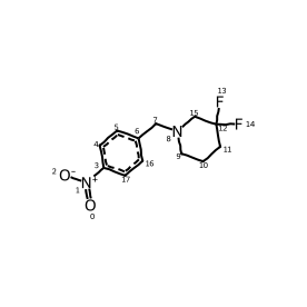 O=[N+]([O-])c1ccc(CN2CCCC(F)(F)C2)cc1